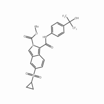 CC(C)(C)OC(=O)n1cc2cc(S(=O)(=O)C3CC3)ccc2c1C(=O)Nc1ccc(C(O)(C(F)(F)F)C(F)(F)F)cc1